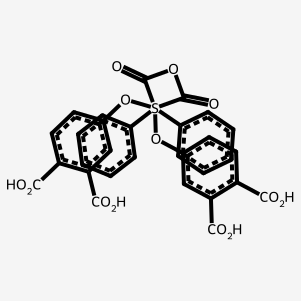 O=C(O)c1ccc(OS2(Oc3ccc(C(=O)O)c(C(=O)O)c3)(c3ccccc3)(c3ccccc3)C(=O)OC2=O)cc1C(=O)O